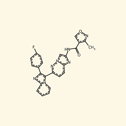 Cc1nocc1C(=O)Nc1cn2nc(-c3c(-c4ccc(F)cc4)nc4ccccn34)ccc2n1